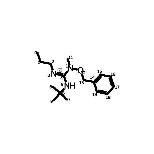 CCC/N=C(/NC(C)(C)C)N(C)OCc1ccccc1